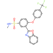 CNS(=O)(=O)c1ccc(Oc2ccc(C(F)(F)F)cc2)c(-c2nc3ccccc3o2)c1